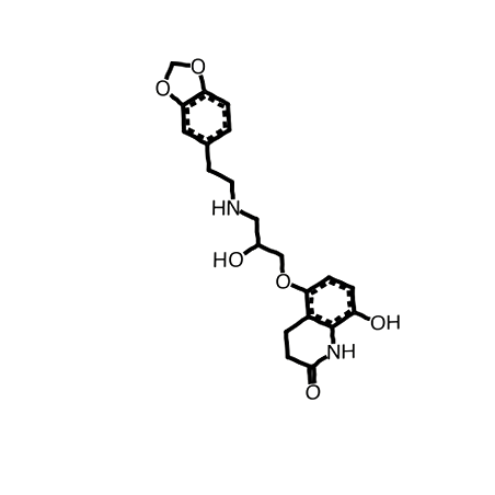 O=C1CCc2c(OCC(O)CNCCc3ccc4c(c3)OCO4)ccc(O)c2N1